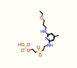 CCOCCCNc1cc(C)cc(NCCS(=O)(=O)CCOS(=O)(=O)O)n1